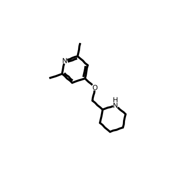 Cc1cc(OCC2CCCCN2)cc(C)n1